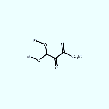 C=C(C(=O)OCC)C(=O)C(OCC)OCC